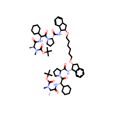 C[C@@H](C(=O)N[C@H](C(=O)N1CCC[C@H]1C(=O)N[C@H]1c2ccccc2C[C@H]1OCCCCCCO[C@@H]1CC2C=CC=CC2[C@@H]1NC(=O)[C@@H]1CCCN1C(=O)[C@@H](NC(=O)[C@H](C)N(C)C(=O)OC(C)(C)C)C1CCCCC1)C1CCCCC1)N(C)C(=O)OC(C)(C)C